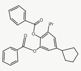 CC(C)c1cc(C2CCCC2)cc(OC(=O)c2ccccc2)c1OC(=O)c1ccccc1